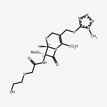 CO[C@@]1(NC(=O)CSCCO)C(=O)N2C(C(=O)O)=C(CSc3nnnn3C)CS[C@H]21